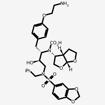 CC(C)CN(C[C@@H](O)[C@H](Cc1ccc(OCCN)cc1)N(C(=O)O)[C@H]1CO[C@H]2OCC[C@H]21)S(=O)(=O)c1ccc2c(c1)OCO2